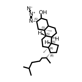 CC(C)CCCC(C)[C@H]1CC[C@H]2[C@@H]3CCC4CC(O)[C@@H](N=[N+]=[N-])C[C@]4(C)[C@H]3CC[C@]12C